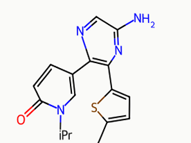 Cc1ccc(-c2nc(N)cnc2-c2ccc(=O)n(C(C)C)c2)s1